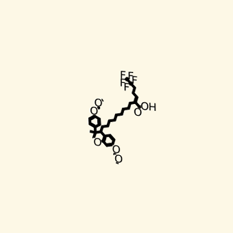 COCOc1ccc(C2(C)COc3cc(OCOC)ccc3C2CCCCCCCCC/C(=C\CCC(F)(F)C(F)(F)F)C(=O)O)cc1